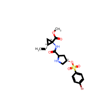 C=C[C@@H]1C[C@]1(NC(=O)C1C[C@H](OS(=O)(=O)c2ccc(Br)cc2)CN1)C(=O)OC